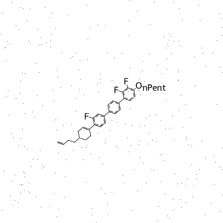 C=CCCC1CC=C(c2ccc(-c3ccc(-c4ccc(OCCCCC)c(F)c4F)cc3)cc2F)CC1